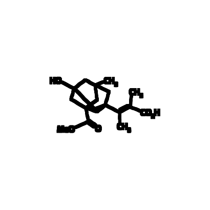 COC(=O)C12CC3(C)CC(O)(C1)CC(C(C)=C(C)C(=O)O)(C3)C2